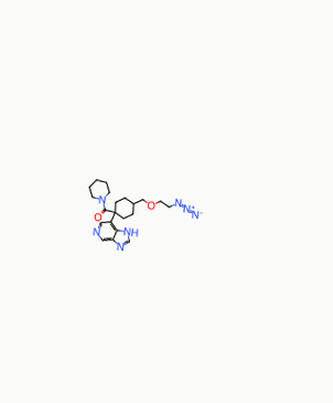 [N-]=[N+]=NCCOCC1CCC(C(=O)N2CCCCC2)(c2cncc3nc[nH]c23)CC1